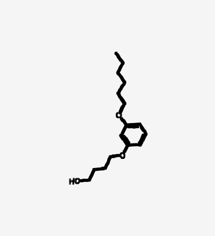 CCCCCCOc1cccc(OCCCCO)c1